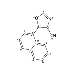 N#Cc1ncoc1-c1cccc2ccccc12